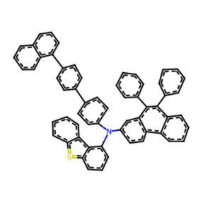 c1ccc(-c2c(-c3ccccc3)c3cc(N(c4ccc(-c5ccc(-c6cccc7ccccc67)cc5)cc4)c4cccc5sc6ccccc6c45)ccc3c3ccccc23)cc1